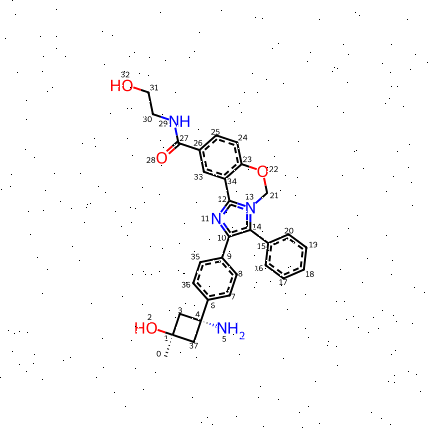 C[C@]1(O)C[C@@](N)(c2ccc(-c3nc4n(c3-c3ccccc3)COc3ccc(C(=O)NCCO)cc3-4)cc2)C1